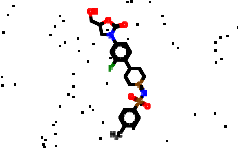 Cc1ccc(S(=O)(=O)N=S2CCC(c3ccc(N4CC(CO)OC4=O)cc3F)CC2)cc1